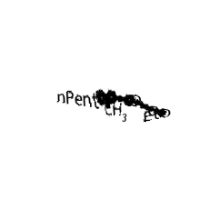 CCCCCc1ccc2c(c1)C(C)c1cc(C#Cc3ccc(OCCCCCCOCC4(CC)COC4)cc3)ccc1-2